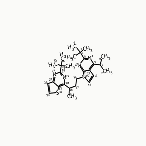 CC(C)c1nc(C(C)(C)C)nc2c1ccn2CCC(C)c1nc(C(C)(C)C)nc2ccsc12